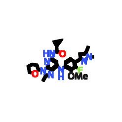 COc1c(Nc2cc(NC(=O)C3CC3)nc3c2nc(C)n3C2CCCCO2)ccc(-c2cc(C)n(C)n2)c1F